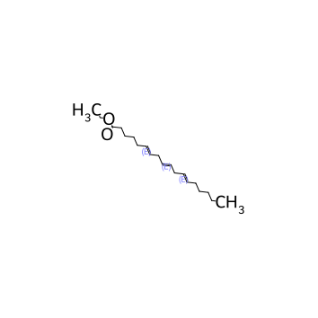 CCCCC/C=C/C/C=C/C/C=C/CCCCC(=O)OCC